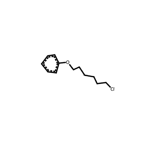 ClCCC[CH]CCOc1ccccc1